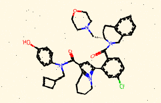 O=C(c1cc(-c2cc(Cl)ccc2C(=O)N2Cc3ccccc3C[C@H]2CN2CCOCC2)n2c1CCCC2)N(CC1CCC1)c1ccc(O)cc1